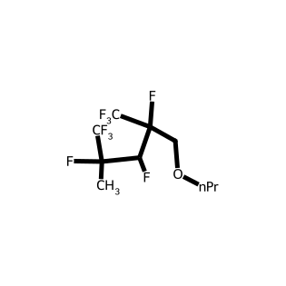 CCCOCC(F)(C(F)C(C)(F)C(F)(F)F)C(F)(F)F